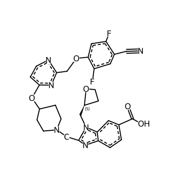 N#Cc1cc(F)c(OCc2nccc(OC3CCN(Cc4nc5ccc(C(=O)O)cc5n4C[C@@H]4CCO4)CC3)n2)cc1F